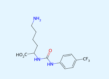 NCCCCC(NC(=O)Nc1ccc(C(F)(F)F)cc1)C(=O)O